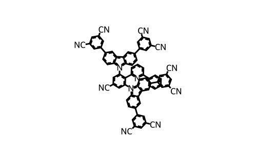 N#Cc1cc(C#N)cc(-c2ccc3c(c2)c2cc(-c4cc(C#N)cc(C#N)c4)ccc2n3-c2cc(C#N)cc(-n3c4ccc(-c5cc(C#N)cc(C#N)c5)cc4c4cc(-c5cc(C#N)cc(C#N)c5)ccc43)c2-c2cccc(-c3ccccc3)n2)c1